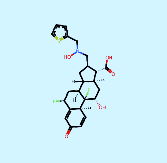 C[C@]12C[C@H](O)[C@@]3(F)[C@@H](C[C@H](F)C4=CC(=O)C=C[C@@]43C)[C@@H]1C[C@@H](CN(O)Cc1cccs1)[C@@H]2C(=O)O